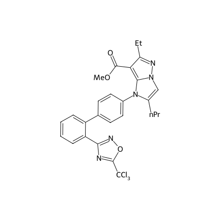 CCCc1cn2nc(CC)c(C(=O)OC)c2n1-c1ccc(-c2ccccc2-c2noc(C(Cl)(Cl)Cl)n2)cc1